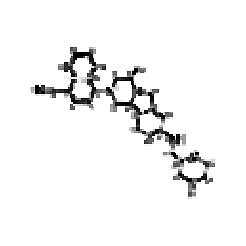 C[C@@H]1CN(c2ccc(C#N)c3ncccc23)CC2=C3CC=C(NC[C@@H]4CNCCO4)C=C3CN21